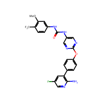 COc1cc(NC(=O)Nc2cnc(Oc3ccc(-c4cc(F)cnc4N)cc3)nc2)ccc1C(F)(F)F